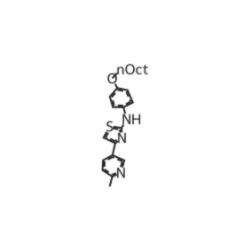 CCCCCCCCOc1ccc(Nc2nc(-c3ccc(C)nc3)cs2)cc1